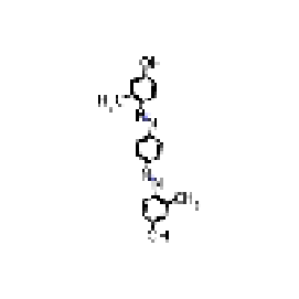 Cc1cc(O)ccc1/N=N/c1ccc(/N=N/c2ccc(O)cc2C)cc1